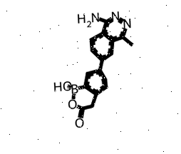 Cc1nnc(N)c2ccc(-c3ccc4c(c3)B(O)OC(=O)C4)cc12